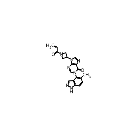 C=CC(=O)N1CC(n2cnc3c(=O)n(-c4c(C)ccc5[nH]ncc45)cnc32)C1